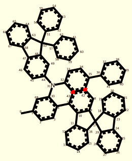 Cc1ccc(-c2cccc3c2-c2ccccc2C32c3ccccc3-c3ccccc32)c(N(c2ccc(-c3ccccc3)cc2)c2ccc3c(c2)C(c2ccccc2)(c2ccccc2)c2ccccc2-3)c1